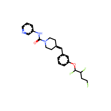 O=C(Nc1cccnc1)N1CCC(=Cc2cccc(OC(F)C(F)CCF)c2)CC1